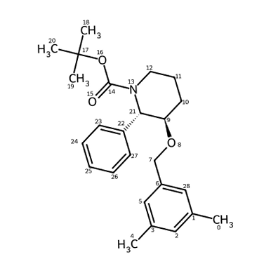 Cc1cc(C)cc(CO[C@@H]2CCCN(C(=O)OC(C)(C)C)[C@H]2c2ccccc2)c1